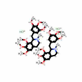 COc1cc(CC2c3c(cc(OC)c(OC)c3OC)CCN2C)cc(OC)c1OC.COc1cc(CC2c3c(cc(OC)c(OC)c3OC)CCN2C)cc(OC)c1OC.Cl.Cl